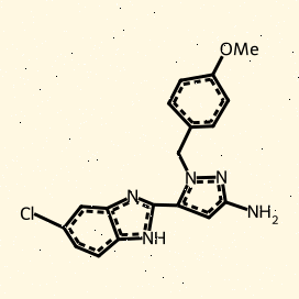 COc1ccc(Cn2nc(N)cc2-c2nc3cc(Cl)ccc3[nH]2)cc1